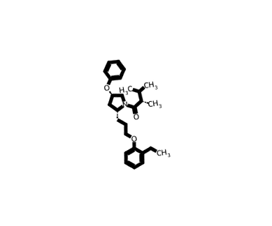 CCc1ccccc1OCCC[C@@H]1C[C@H](Oc2ccccc2)CN1C(=O)[C@@H](C)C(C)C